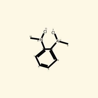 [CH3][Al]([Cl])[c]1cccc[c]1[Al]([CH3])[Cl]